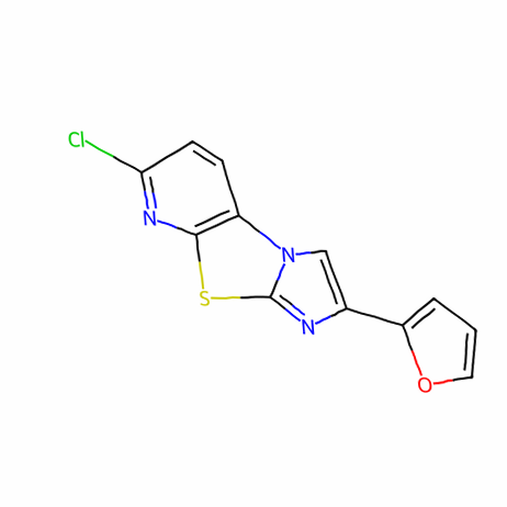 Clc1ccc2c(n1)sc1nc(-c3ccco3)cn12